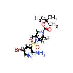 CC(C)(C)OC(=O)N1C[C@@H]2C[C@H]1CN2S(=O)(=O)c1cc(Br)cnc1N